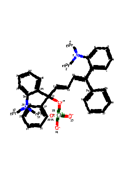 CCCN(CCC)c1ccccc1/C(=C/C=C/C(O[Cl+3]([O-])([O-])[O-])(c1ccccc1)c1ccccc1N(CCC)CCC)c1ccccc1